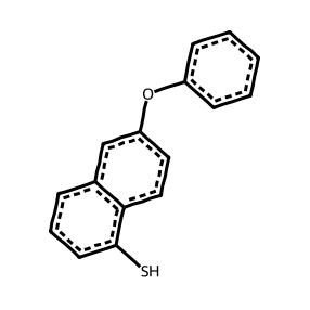 Sc1cccc2cc(Oc3ccccc3)ccc12